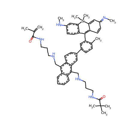 C=C(C)C(=O)NCCCNCc1c2ccccc2c(CNCCCNC(=O)C(C)(C)C)c2cc(-c3ccc(C)c(C4=C5C=C/C(=N\C)C=C5[Si](C)(C)c5cc(NC)ccc54)c3)ccc12